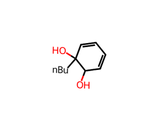 CCCCC1(O)C=CC=CC1O